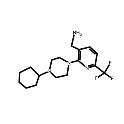 NCc1ccc(C(F)(F)F)nc1N1CCN(C2CCCCC2)CC1